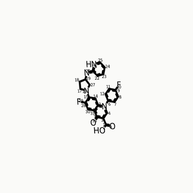 O=C(O)c1cn(-c2ccc(F)cc2)c2cc(N3CCC(N=c4cccc[nH]4)C3)c(F)cc2c1=O